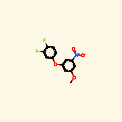 COc1cc(Oc2ccc(F)c(F)c2)cc([N+](=O)[O-])c1